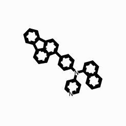 c1ccc2c(c1)-c1cccc3c(-c4ccc(N(c5ccncc5)c5cccc6ccccc56)cc4)ccc-2c13